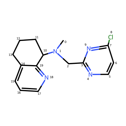 CN(Cc1nccc(Cl)n1)C1CCCc2cccnc21